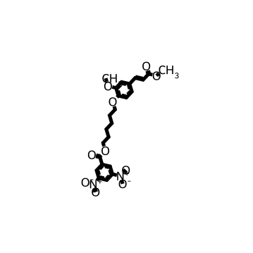 COC(=O)C=Cc1ccc(OCCCCCCOC(=O)c2cc([N+](=O)[O-])cc([N+](=O)[O-])c2)c(OC)c1